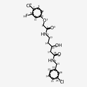 O=C(COc1ccc(Cl)c(F)c1)NCCC(O)CC(=O)NCc1cccc(Cl)c1